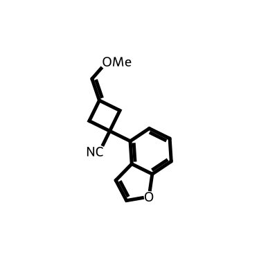 COC=C1CC(C#N)(c2cccc3occc23)C1